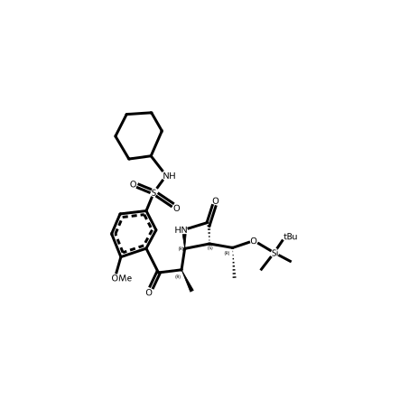 COc1ccc(S(=O)(=O)NC2CCCCC2)cc1C(=O)[C@H](C)[C@H]1NC(=O)[C@@H]1[C@@H](C)O[Si](C)(C)C(C)(C)C